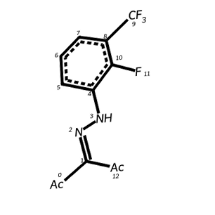 CC(=O)C(=NNc1cccc(C(F)(F)F)c1F)C(C)=O